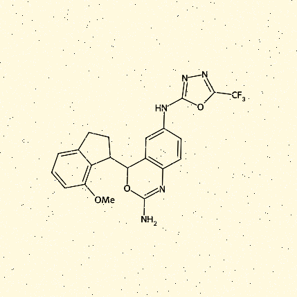 COc1cccc2c1C(C1OC(N)=Nc3ccc(Nc4nnc(C(F)(F)F)o4)cc31)CC2